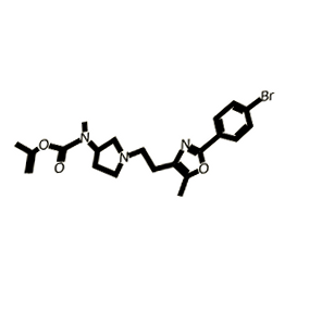 C=C(C)OC(=O)N(C)C1CCN(CCc2nc(-c3ccc(Br)cc3)oc2C)C1